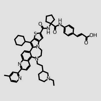 CCN1CCCC(CCN2CCn3c(c(C4CCCCC4)c4sc(C(=O)NC5(C(=O)Nc6ccc(/C=C/C(=O)O)cc6)CCCC5)cc43)-c3ccc4nc(-c5cc(C)ccn5)ccc4c32)C1